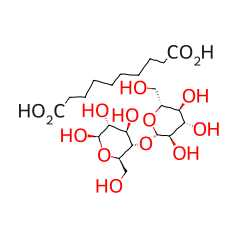 O=C(O)CCCCCCCCC(=O)O.OC[C@H]1O[C@@H](O[C@H]2[C@H](O)[C@@H](O)[C@H](O)O[C@@H]2CO)[C@H](O)[C@@H](O)[C@@H]1O